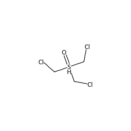 O=[SH](CCl)(CCl)CCl